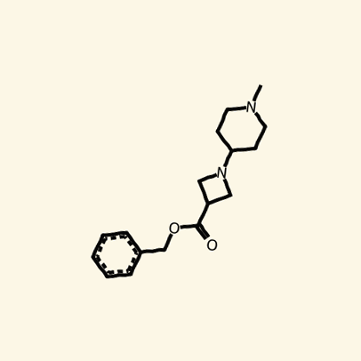 CN1CCC(N2CC(C(=O)OCc3ccccc3)C2)CC1